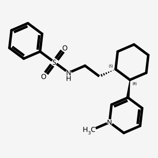 CN1C=C([C@@H]2CCCC[C@H]2CCNS(=O)(=O)c2ccccc2)C=CC1